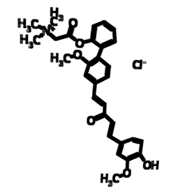 COc1cc(/C=C/C(=O)/C=C/c2ccc(-c3ccccc3OC(=O)C[N+](C)(C)C)c(OC)c2)ccc1O.[Cl-]